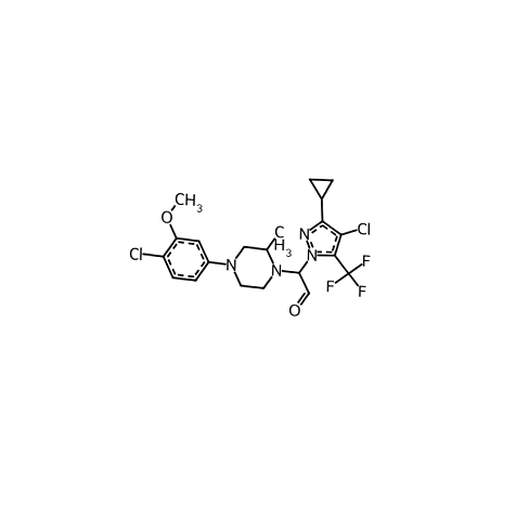 COc1cc(N2CCN(C(C=O)n3nc(C4CC4)c(Cl)c3C(F)(F)F)C(C)C2)ccc1Cl